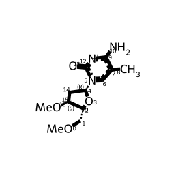 COC[C@H]1O[C@@H](n2cc(C)c(N)nc2=O)C[C@@H]1OC